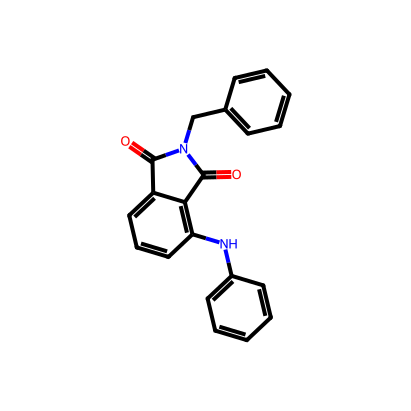 O=C1c2cccc(Nc3ccccc3)c2C(=O)N1Cc1ccccc1